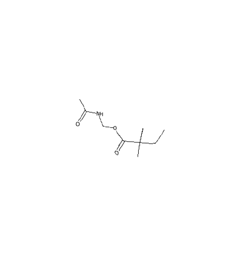 CCC(C)(C)C(=O)OCNC(C)=O